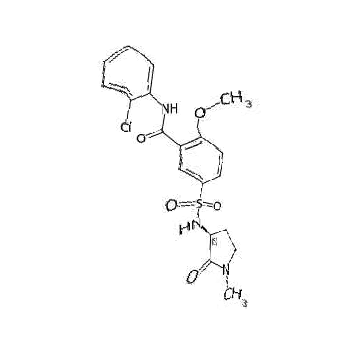 COc1ccc(S(=O)(=O)N[C@H]2CCN(C)C2=O)cc1C(=O)Nc1ccccc1Cl